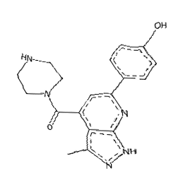 Cc1n[nH]c2nc(-c3ccc(O)cc3)cc(C(=O)N3CCNCC3)c12